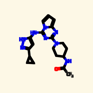 O=C(NC1CCN(c2nc(Nc3cc(C4CC4)n[nH]3)n3cccc3n2)CC1)C(F)(F)F